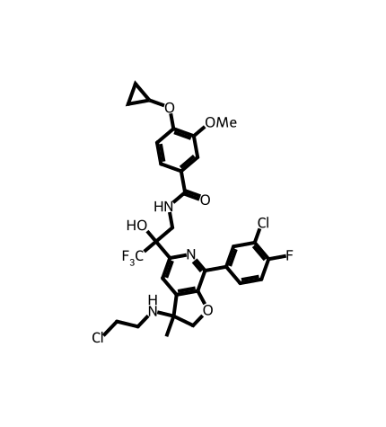 COc1cc(C(=O)NCC(O)(c2cc3c(c(-c4ccc(F)c(Cl)c4)n2)OCC3(C)NCCCl)C(F)(F)F)ccc1OC1CC1